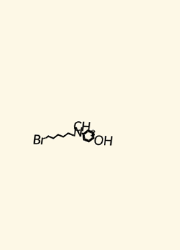 CN(CCCCCCBr)c1ccc(O)cc1